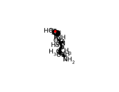 CC(C)(COc1noc(C(=O)N[C@H]2C3CC4CC2C[C@](O)(C4)C3)c1S)C(=O)NCCN